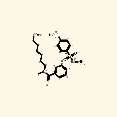 CCCCCCCCCCCCCCCCN(C)C(=O)c1ccccc1.NNS(=O)(=O)c1ccc(C(=O)O)cc1